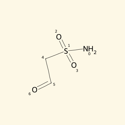 NS(=O)(=O)CC=O